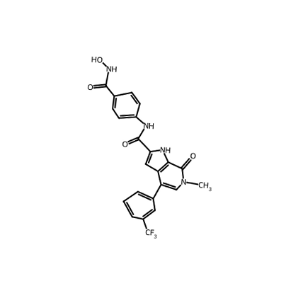 Cn1cc(-c2cccc(C(F)(F)F)c2)c2cc(C(=O)Nc3ccc(C(=O)NO)cc3)[nH]c2c1=O